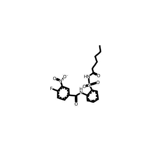 CCCCCC(=O)NS(=O)(=O)c1ccccc1NC(=O)c1ccc(F)c([N+](=O)[O-])c1